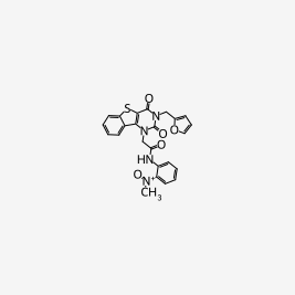 C[N+](=O)c1ccccc1NC(=O)Cn1c(=O)n(Cc2ccco2)c(=O)c2sc3ccccc3c21